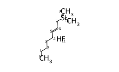 CCCCCC=CC[Si](C)C.F